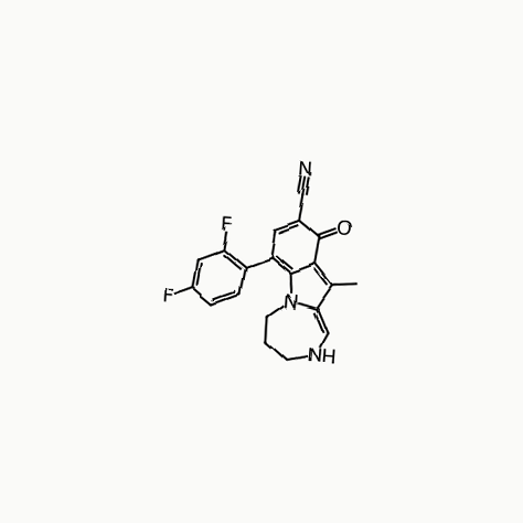 Cc1c2c(n3c1=CNCCC3)=C(c1ccc(F)cc1F)C=C(C#N)C2=O